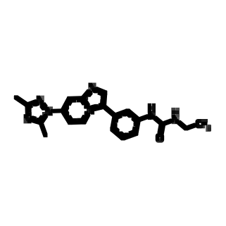 Cc1nc(C)n(-c2ccn3c(-c4cccc(NC(=O)NCC(F)(F)F)c4)cnc3c2)n1